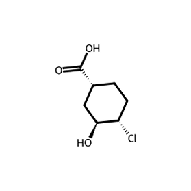 O=C(O)[C@@H]1CC[C@H](Cl)[C@@H](O)C1